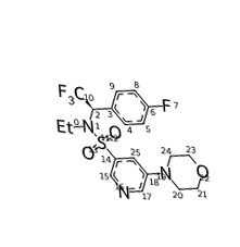 CCN([C@H](c1ccc(F)cc1)C(F)(F)F)S(=O)(=O)c1cncc(N2CCOCC2)c1